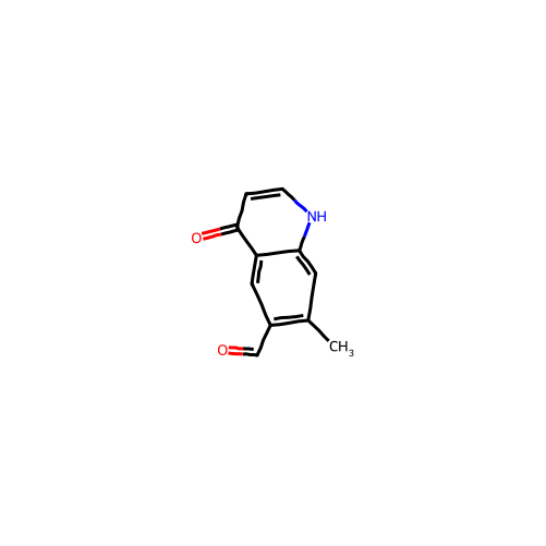 Cc1cc2[nH]ccc(=O)c2cc1C=O